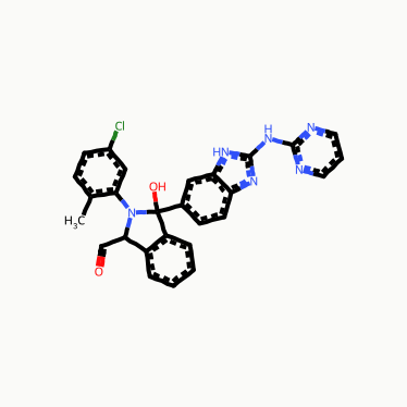 Cc1ccc(Cl)cc1N1C(C=O)c2ccccc2C1(O)c1ccc2nc(Nc3ncccn3)[nH]c2c1